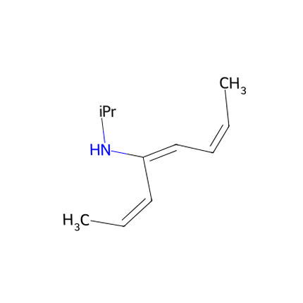 C\C=C/C=C(\C=C/C)NC(C)C